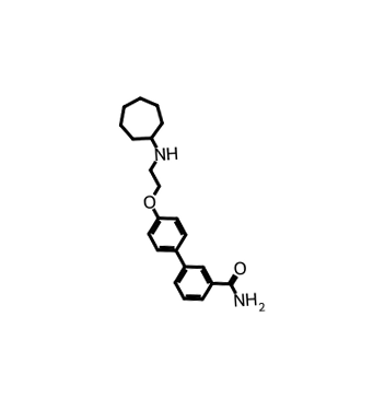 NC(=O)c1cccc(-c2ccc(OCCNC3CCCCCC3)cc2)c1